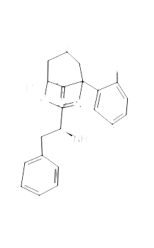 N[C@@H](Cc1ccccc1)C1=NC2(c3ccccc3Cl)CCC[C@H](O1)C2=O